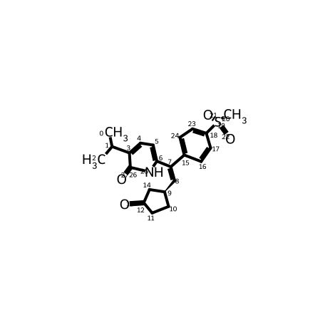 CC(C)c1ccc(/C(=C\[C@H]2CCC(=O)C2)c2ccc(S(C)(=O)=O)cc2)[nH]c1=O